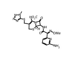 CON=C(C(=O)NC1C(=O)N2C(C(=O)O)=C(CSc3nnnn3C)CS[C@@H]12)c1cccc(N)n1